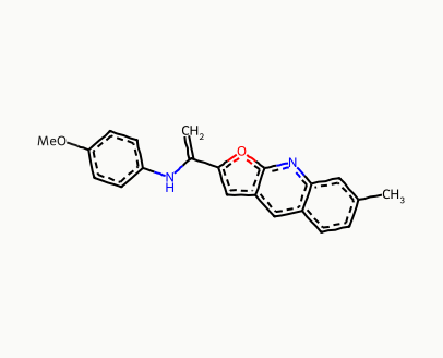 C=C(Nc1ccc(OC)cc1)c1cc2cc3ccc(C)cc3nc2o1